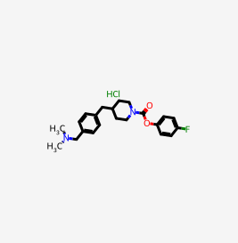 CN(C)Cc1ccc(CC2CCN(C(=O)Oc3ccc(F)cc3)CC2)cc1.Cl